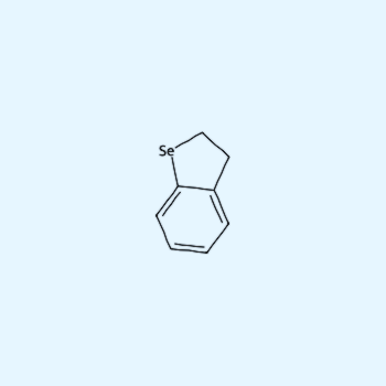 c1ccc2c(c1)CC[Se]2